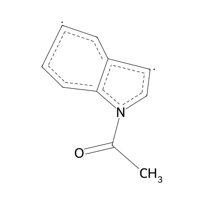 CC(=O)n1c[c]c2c[c]ccc21